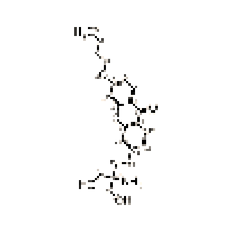 CCCCOc1ccc2c(=O)c3ccc(CCC(N)(CO)CO)cc3oc2c1